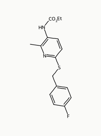 CCOC(=O)Nc1ccc(SCc2ccc(F)cc2)nc1C